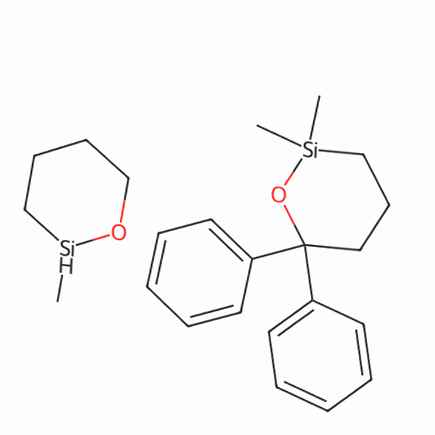 C[SiH]1CCCCO1.C[Si]1(C)CCCC(c2ccccc2)(c2ccccc2)O1